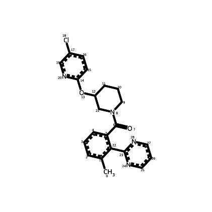 Cc1cccc(C(=O)N2CCCC(Oc3ccc(Cl)cn3)C2)c1-c1ncccn1